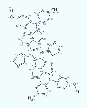 CCOc1ccc(N(c2ccc(C)cc2)c2ccc3c4c(-c5ccccc5)c5c6ccc(N(c7ccc(C)cc7)c7ccc(OCC)cc7)c7cccc(c5c(-c5ccccc5)c4c4cccc2c43)c76)cc1